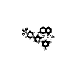 COc1cccc2c1CC(Oc1c(N3CCN(S(C)(=O)=O)CC3)cnn(-c3cc(F)cc(F)c3)c1=O)CC2